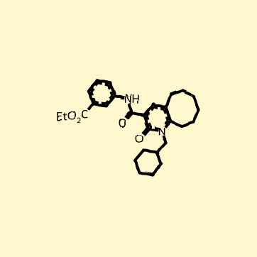 CCOC(=O)c1cccc(NC(=O)c2cc3c(n(CC4CCCCC4)c2=O)CCCCCC3)c1